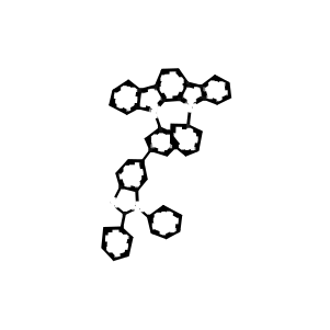 c1ccc(C2Nc3ccc(-c4cccc(-n5c6ccccc6c6ccc7c8ccccc8n(-c8ccccc8)c7c65)c4)cc3N2c2ccccc2)cc1